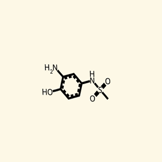 CS(=O)(=O)Nc1ccc(O)c(N)c1